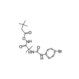 CC(C)(C)CC(=O)ONC(=O)C(C)(C)NC(=O)Nc1ccc(Br)cc1